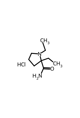 CCN1CCCC1(CC)C(N)=O.Cl